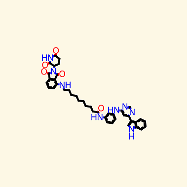 O=C1CCC(N2C(=O)c3cccc(NCCCCCCCCCC(=O)Nc4cccc(Nc5cc(-c6c[nH]c7ccccc67)ncn5)c4)c3C2=O)C(=O)N1